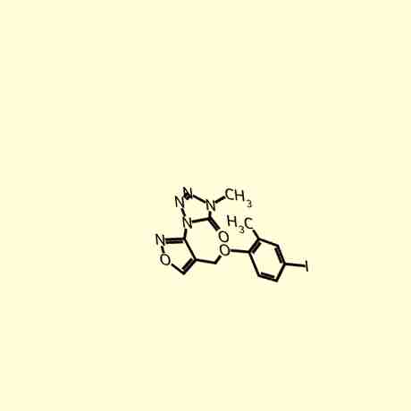 Cc1cc(I)ccc1OCc1conc1-n1nnn(C)c1=O